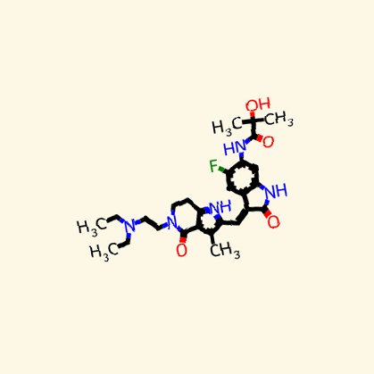 CCN(CC)CCN1CCc2[nH]c(/C=C3/C(=O)Nc4cc(NC(=O)C(C)(C)O)c(F)cc43)c(C)c2C1=O